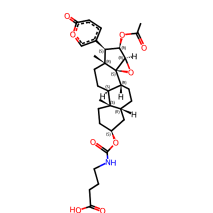 CC(=O)O[C@H]1[C@H]2O[C@]23[C@@H]2CC[C@@H]4C[C@@H](OC(=O)NCCCC(=O)O)CC[C@]4(C)[C@H]2CC[C@]3(C)[C@H]1c1ccc(=O)oc1